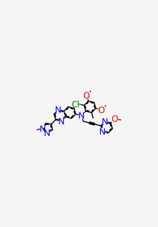 COc1ccnc(C#CCN(c2ccc3ncc(-c4cnn(C)c4)nc3c2)c2c(C)c(OC)cc(OC)c2Cl)n1